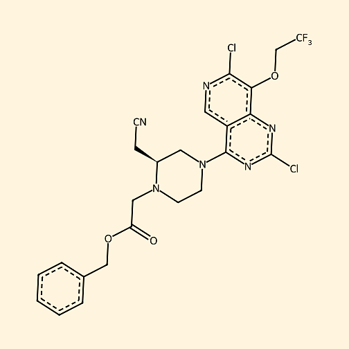 N#CC[C@H]1CN(c2nc(Cl)nc3c(OCC(F)(F)F)c(Cl)ncc23)CCN1CC(=O)OCc1ccccc1